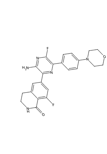 Nc1nc(F)c(-c2ccc(N3CCOCC3)cc2)nc1-c1cc(F)c2c(c1)CCNC2=O